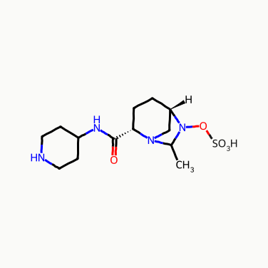 CC1N2C[C@H](CC[C@H]2C(=O)NC2CCNCC2)N1OS(=O)(=O)O